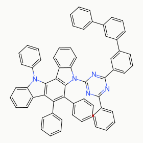 c1ccc(-c2cccc(-c3cccc(-c4nc(-c5ccccc5)nc(-n5c6ccccc6c6c5c(-c5ccccc5)c(-c5ccccc5)c5c7ccccc7n(-c7ccccc7)c56)n4)c3)c2)cc1